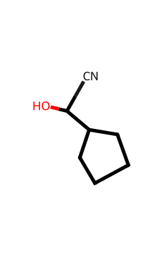 N#CC(O)C1CCCC1